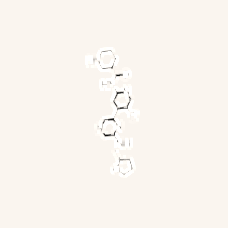 O=C(Nc1cc(-c2cncc(NC[C@@H]3CCCO3)n2)c(Cl)cn1)[C@@H]1CCCNC1